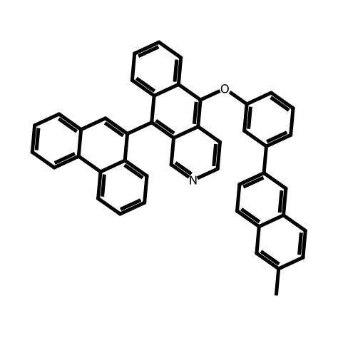 Cc1ccc2cc(-c3cccc(Oc4c5ccccc5c(-c5cc6ccccc6c6ccccc56)c5cnccc45)c3)ccc2c1